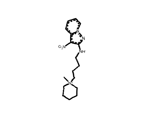 C[N+]1(CCCCNc2nn3ccccc3c2[N+](=O)[O-])CCCCC1